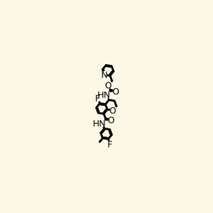 Cc1cc(NC(=O)c2ccc(F)c3c2OCC[C@@H]3NC(=O)OCc2ccccn2)ccc1F